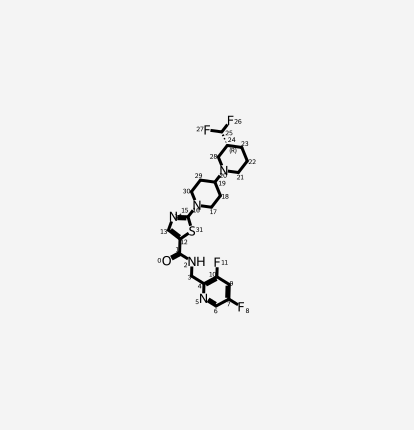 O=C(NCc1ncc(F)cc1F)c1cnc(N2CCC(N3CCC[C@@H](C(F)F)C3)CC2)s1